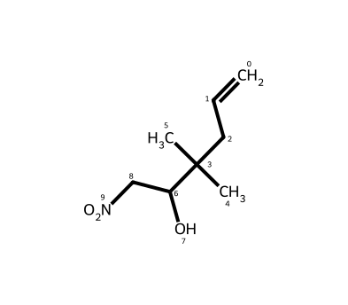 C=CCC(C)(C)C(O)C[N+](=O)[O-]